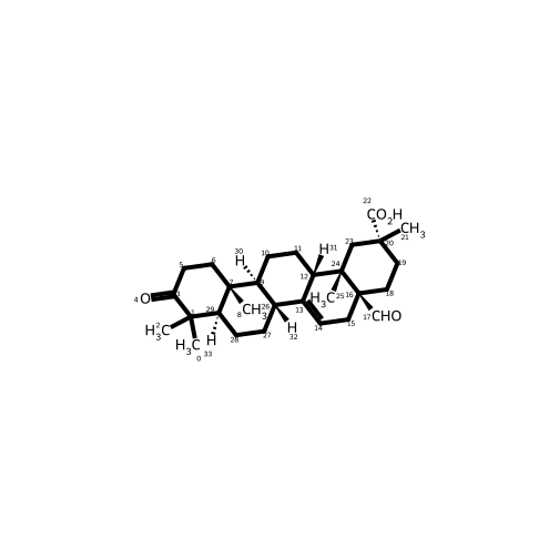 CC1(C)C(=O)CC[C@]2(C)[C@H]3CC[C@H]4C(=CC[C@@]5(C=O)CC[C@@](C)(C(=O)O)C[C@@]45C)[C@@H]3CC[C@@H]12